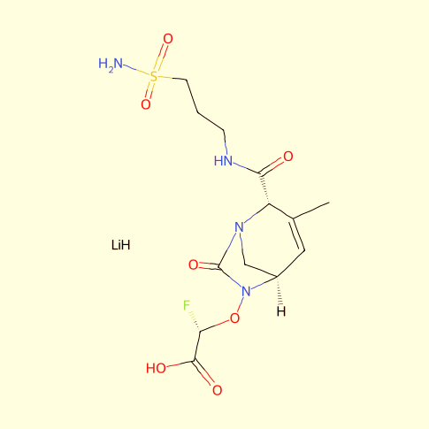 CC1=C[C@@H]2CN(C(=O)N2O[C@@H](F)C(=O)O)[C@@H]1C(=O)NCCCS(N)(=O)=O.[LiH]